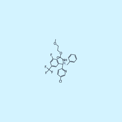 COCCOC(=O)N[C@](Cc1ccccc1)(c1cc(F)cc(C(F)(F)F)c1)c1ccc(Cl)cn1